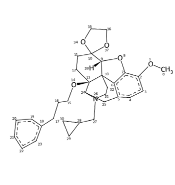 COc1ccc2c3c1O[C@H]1C4(CC[C@@]5(OCCCc6ccccc6)C(C2)N(CC2CC2)CCC315)OCCO4